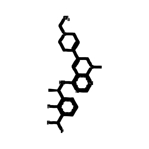 C[C@@H](Nc1ncnc2c1C=C(C1=CCN(CC(F)(F)F)CC1)CN2C)c1cccc(C(F)F)c1F